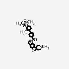 Cc1cc(N(C)S(C)(=O)=O)ccc1-c1ccc(C(=O)N2CCc3cc4c(cc32)C2(CCN(C)CC2)CO4)cc1